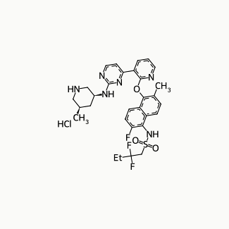 CCC(F)(F)CS(=O)(=O)Nc1c(F)ccc2c(Oc3ncccc3-c3ccnc(N[C@@H]4CNC[C@H](C)C4)n3)c(C)ccc12.Cl